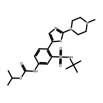 CC(C)OC(=O)Nc1ccc(-c2cnc(N3CCN(C)CC3)s2)c(S(=O)(=O)NC(C)(C)C)c1